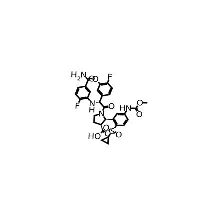 COC(=O)Nc1ccc(S(=O)(=O)C2CC2)c([C@H]2[C@@H](C(=O)O)CCN2C(=O)[C@H](Nc2cc(C(N)=O)ccc2F)c2ccc(F)c(OC)c2)c1